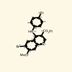 CCOC(=O)c1cnc2cc(OC)c(Br)cc2c1Nc1ccc(CC)cc1